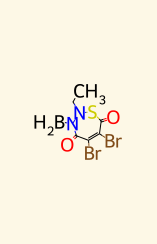 BN1C(=O)C(Br)=C(Br)C(=O)SN1CC